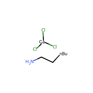 CCCCCCN.[Cl][Ga]([Cl])[Cl]